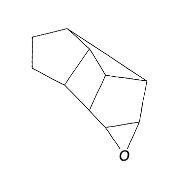 C1CC2C3C1C1C4OC4C2C31